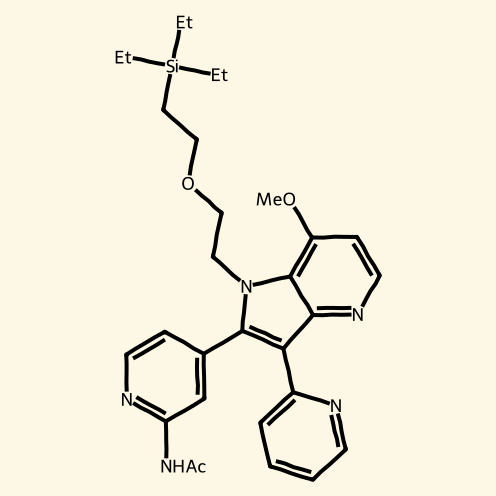 CC[Si](CC)(CC)CCOCCn1c(-c2ccnc(NC(C)=O)c2)c(-c2ccccn2)c2nccc(OC)c21